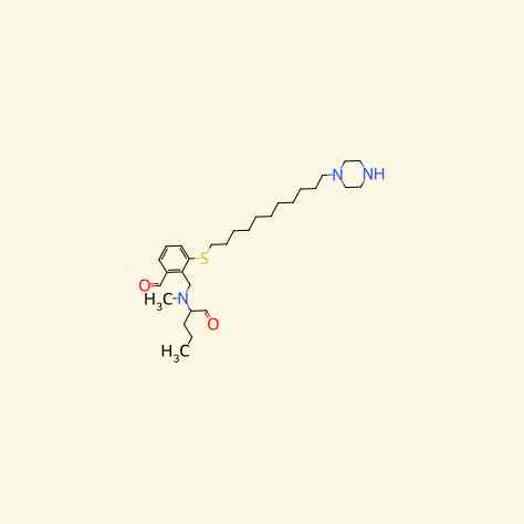 CCCC(C=O)N(C)Cc1c(C=O)cccc1SCCCCCCCCCCCN1CCNCC1